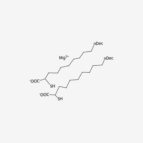 CCCCCCCCCCCCCCCCCCC(S)C(=O)[O-].CCCCCCCCCCCCCCCCCCC(S)C(=O)[O-].[Mg+2]